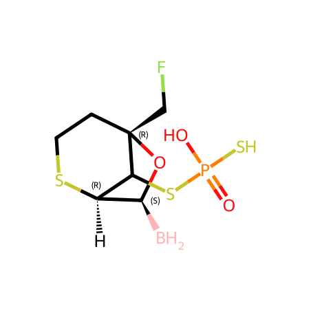 B[C@@H]1O[C@@]2(CF)CCS[C@H]1C2SP(=O)(O)S